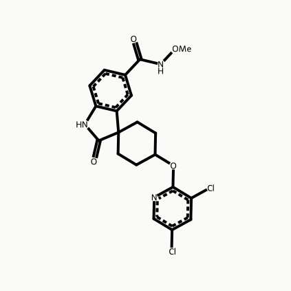 CONC(=O)c1ccc2c(c1)C1(CCC(Oc3ncc(Cl)cc3Cl)CC1)C(=O)N2